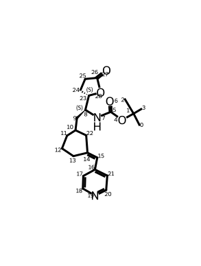 CC(C)(C)OC(=O)N[C@@H](CC1CCCC(=Cc2ccncc2)C1)[C@@H]1CCC(=O)O1